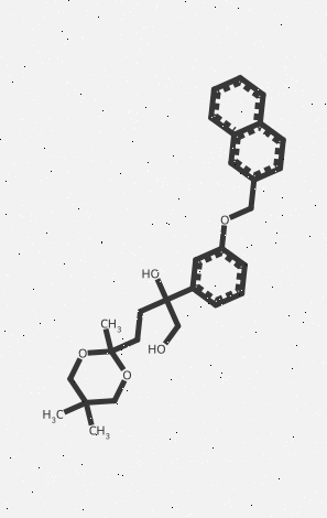 CC1(C)COC(C)(CCC(O)(CO)c2cccc(OCc3ccc4ccccc4c3)c2)OC1